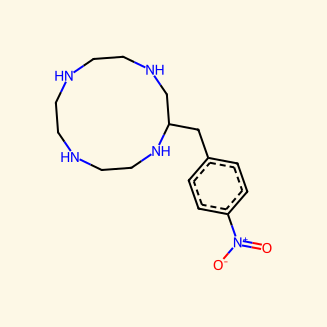 O=[N+]([O-])c1ccc(CC2CNCCNCCNCCN2)cc1